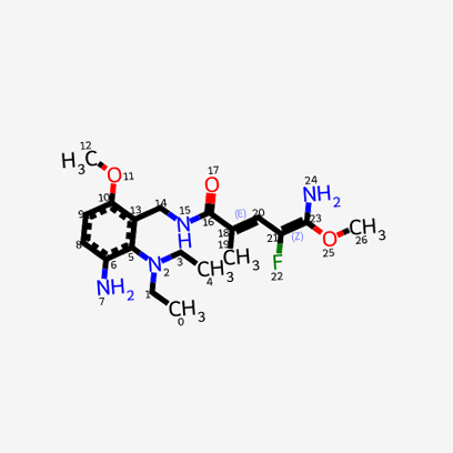 CCN(CC)c1c(N)ccc(OC)c1CNC(=O)/C(C)=C/C(F)=C(\N)OC